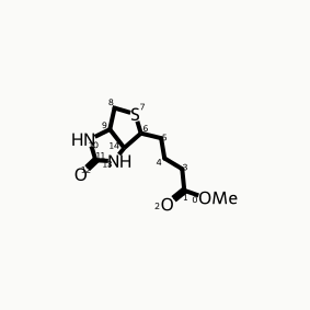 COC(=O)CCCC1SCC2NC(=O)NC21